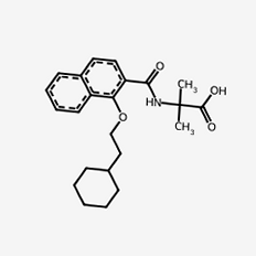 CC(C)(NC(=O)c1ccc2ccccc2c1OCCC1CCCCC1)C(=O)O